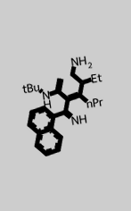 C=C(NC(C)(C)C)/C(C(=N)c1cccc2ccccc12)=C(/CCC)C(CC)CN